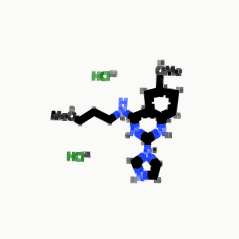 COCCCNc1nc(-n2ccnc2)nc2ccc(OC)cc12.Cl.Cl